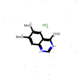 COc1cc2ncnc(C=O)c2cc1OC.Cl